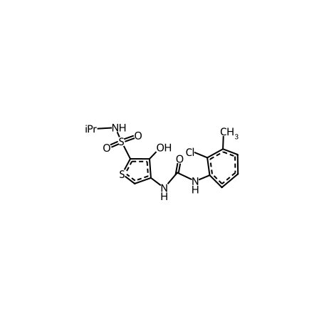 Cc1cccc(NC(=O)Nc2csc(S(=O)(=O)NC(C)C)c2O)c1Cl